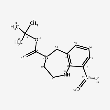 CC(C)(C)OC(=O)N1CCNc2c(cccc2[N+](=O)[O-])C1